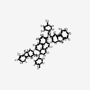 Cc1ccc(N(c2ccc3sc4ccccc4c3c2)c2ccc3ccc4c(N(c5ccc(C)cc5)c5ccc6sc7ccccc7c6c5)ccc5ccc2c3c54)cc1